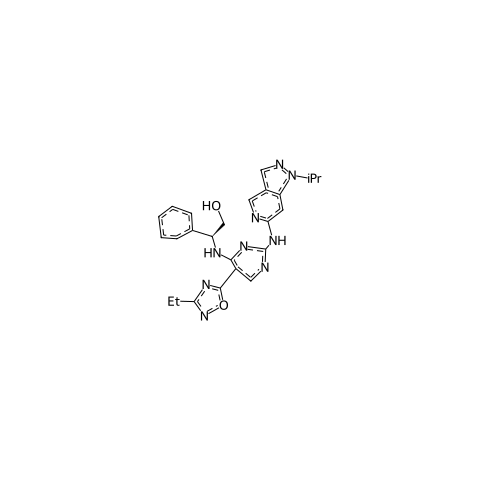 CCc1noc(-c2cnc(Nc3cc4c(cn3)cnn4C(C)C)nc2N[C@H](CO)c2ccccc2)n1